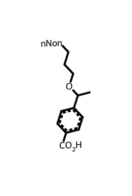 CCCCCCCCCCCCOC(C)c1ccc(C(=O)O)cc1